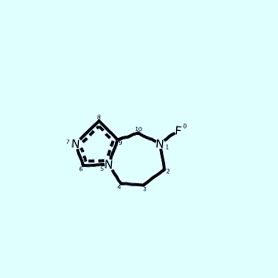 FN1CCCn2cncc2C1